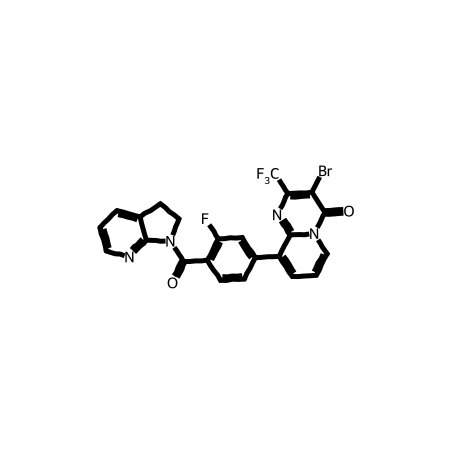 O=C(c1ccc(-c2cccn3c(=O)c(Br)c(C(F)(F)F)nc23)cc1F)N1CCc2cccnc21